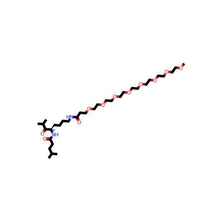 COCCOCCOCCOCCOCCOCCOCCOCCC(=O)NCCCC[C@@H](NC(=O)CCC(C)C)C(=O)C(C)C